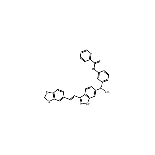 CN(c1cccc(NC(=O)c2ccccc2)c1)c1ccc2c(C=Cc3ccc4c(c3)OCO4)n[nH]c2c1